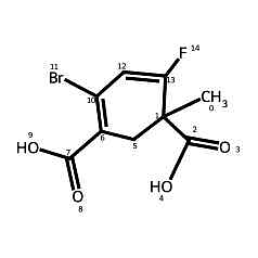 CC1(C(=O)O)CC(C(=O)O)=C(Br)C=C1F